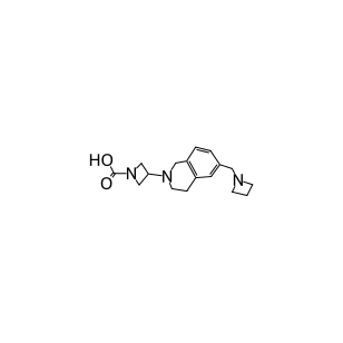 O=C(O)N1CC(N2CCc3cc(CN4CCC4)ccc3C2)C1